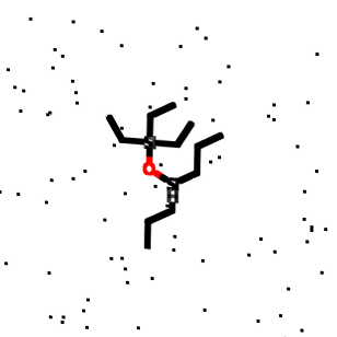 CCC[SiH](CCC)O[Si](CC)(CC)CC